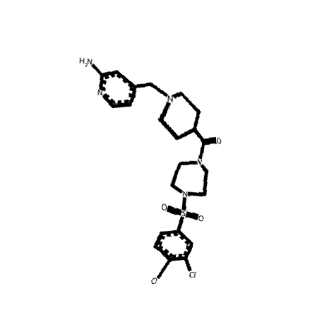 Nc1cc(CN2CCC(C(=O)N3CCN(S(=O)(=O)c4ccc(Cl)c(Cl)c4)CC3)CC2)ccn1